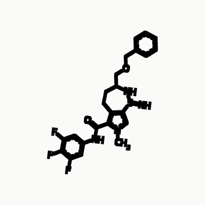 Cn1cc2c(c1C(=O)Nc1cc(F)c(F)c(F)c1)CCC(COCc1ccccc1)NS2=N